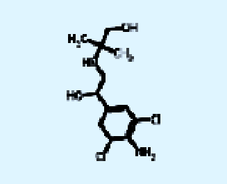 CC(C)(CO)NCC(O)C1=CC(Cl)=C(N)[C@@H](Cl)C1